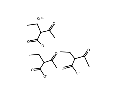 CCC(C(C)=O)C(=O)[O-].CCC(C(C)=O)C(=O)[O-].CCC(C(C)=O)C(=O)[O-].[Cr+3]